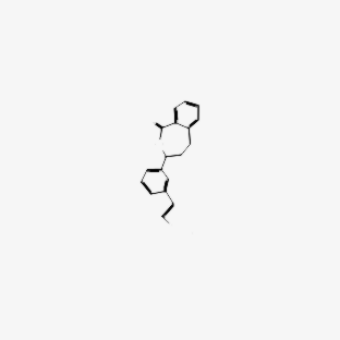 C/C=C/c1cccc(C2CCc3ccccc3C(=O)O2)c1